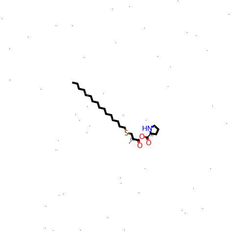 CCCCCCCCCCCCCCCCSC[C@@H](C)C(=O)OC(=O)[C@@H]1CCCN1